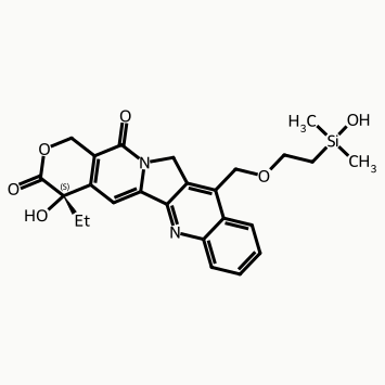 CC[C@@]1(O)C(=O)OCc2c1cc1n(c2=O)Cc2c-1nc1ccccc1c2COCC[Si](C)(C)O